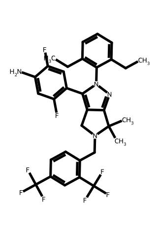 CCc1cccc(CC)c1-n1nc2c(c1-c1cc(F)c(N)cc1F)CN(Cc1ccc(C(F)(F)F)cc1C(F)(F)F)C2(C)C